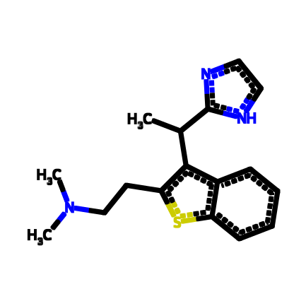 CC(c1ncc[nH]1)c1c(CCN(C)C)sc2ccccc12